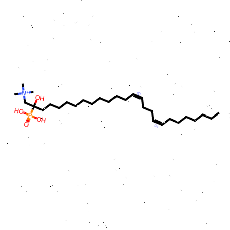 CCCCCCC/C=C\CC/C=C\CCCCCCCCCCCC(O)(C[N+](C)(C)C)P(=O)(O)O